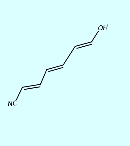 N#CC=CC=CC=CO